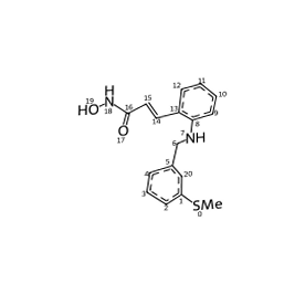 CSc1cccc(CNc2ccccc2/C=C/C(=O)NO)c1